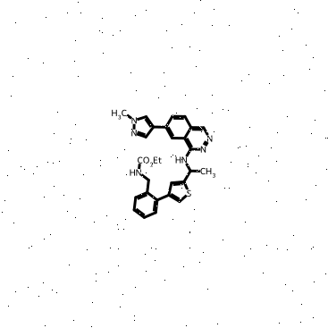 CCOC(=O)NCc1ccccc1-c1csc(C(C)Nc2nncc3ccc(-c4cnn(C)c4)cc23)c1